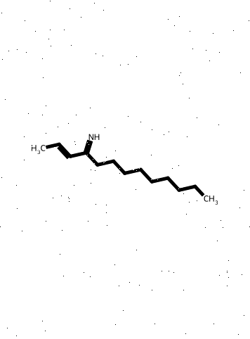 C/C=C/C(=N)CCCCCCCCC